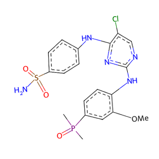 COc1cc(P(C)(C)=O)ccc1Nc1ncc(Cl)c(Nc2ccc(S(N)(=O)=O)cc2)n1